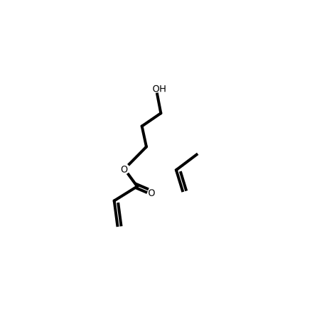 C=CC.C=CC(=O)OCCCO